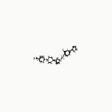 Cc1cc(-n2cnnn2)ccc1OCc1cnn(C2CCN(c3ncc(Cl)cn3)CC2)n1